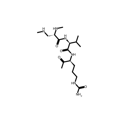 CNC[C@H](NC)C(=O)N[C@H](C(=O)N[C@@H](CCCNC(N)=O)C(C)=O)C(C)C